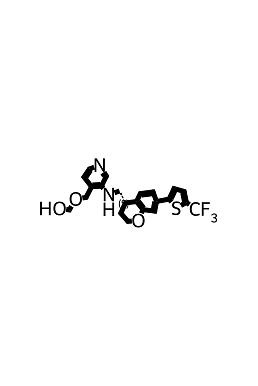 OCOCc1ccncc1NC[C@H]1CCOc2cc(-c3ccc(C(F)(F)F)s3)ccc21